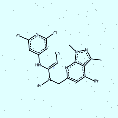 Cc1nn(C)c2nc(CN(/C(=C/C#N)Nc3cc(Cl)nc(Cl)c3)C(C)C)cc(C(C)C)c12